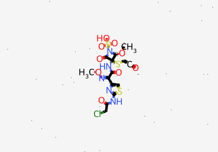 CON=C(C(=O)N[C@]1(SC=C=O)C(=O)N(S(=O)(=O)O)[C@H]1OC)c1csc(NC(=O)CCl)n1